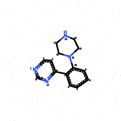 [c]1nccc(-c2ccccc2N2CCNCC2)n1